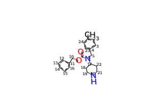 Cc1ccc(CN(C(=O)OCc2ccccc2)C2CCNCC2)cc1